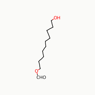 O=COCCCCCCCCCCO